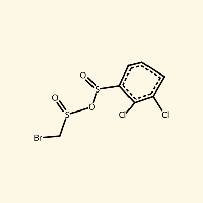 O=S(CBr)OS(=O)c1cccc(Cl)c1Cl